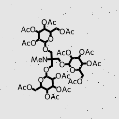 CNC(COC1OC(COC(C)=O)C(OC(C)=O)C(OC(C)=O)C1OC(C)=O)(COC1OC(COC(C)=O)C(OC(C)=O)C(OC(C)=O)C1OC(C)=O)COC1OC(COC(C)=O)C(OC(C)=O)C(OC(C)=O)C1OC(C)=O